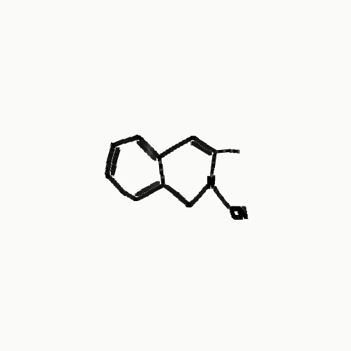 CC1=Cc2ccccc2CN1C#N